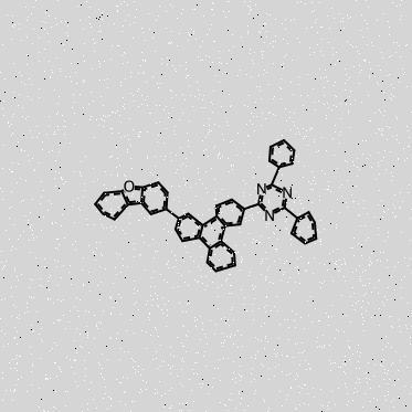 c1ccc(-c2nc(-c3ccccc3)nc(-c3ccc4c5cc(-c6ccc7oc8ccccc8c7c6)ccc5c5ccccc5c4c3)n2)cc1